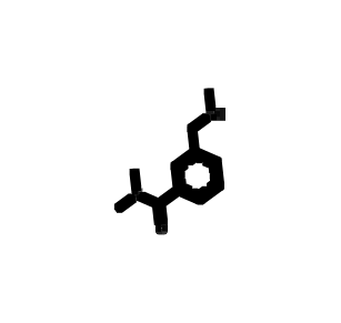 CNCc1cccc(C(=O)N(C)C)c1